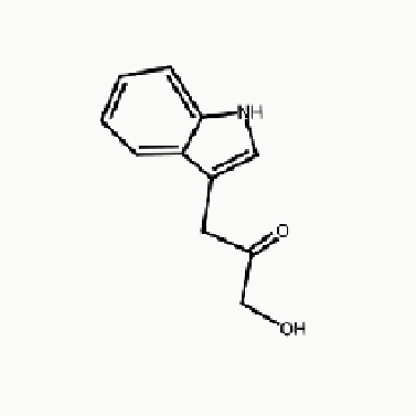 O=C(CO)Cc1c[nH]c2ccccc12